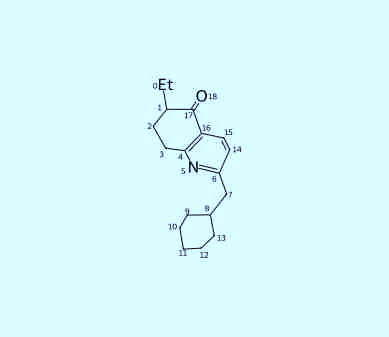 CCC1CCc2nc(CC3CCCCC3)ccc2C1=O